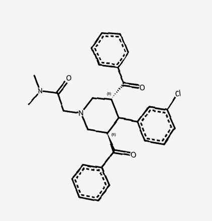 CN(C)C(=O)CN1C[C@H](C(=O)c2ccccc2)C(c2cccc(Cl)c2)[C@@H](C(=O)c2ccccc2)C1